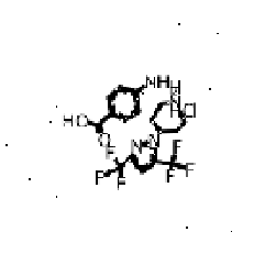 Cl.FC(F)(F)c1cc(C(F)(F)F)n(C2CCNCC2)n1.Nc1ccc(C(=O)O)cc1